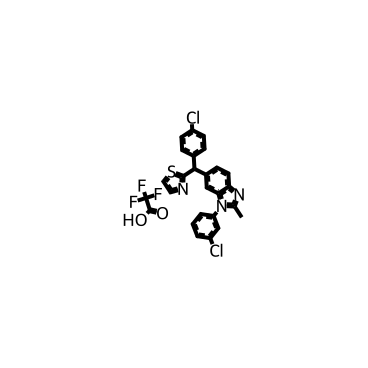 Cc1nc2ccc(C(c3ccc(Cl)cc3)c3nccs3)cc2n1-c1cccc(Cl)c1.O=C(O)C(F)(F)F